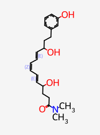 CN(C)C(=O)CCC(O)/C=C/C=C\C=C\C(O)CCc1cccc(O)c1